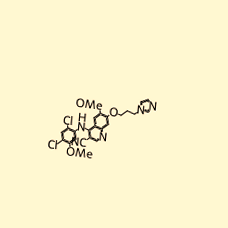 COc1cc(Nc2c(C#N)cnc3cc(OCCCn4ccnc4)c(OC)cc23)c(Cl)cc1Cl